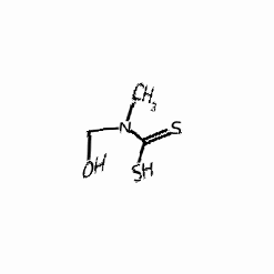 CN(CO)C(=S)S